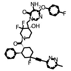 Cc1ccc(C#C[C@@]2(F)CC[C@@H](C(=O)N3CC[C@](O)(Cn4cnc(Oc5ccc(F)cc5)c(N)c4=O)C(F)(F)C3)[C@H](c3ccccc3)C2)nn1